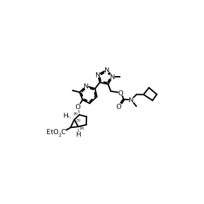 CCOC(=O)C1[C@H]2[C@H](Oc3ccc(-c4nnn(C)c4COC(=O)N(C)CC4CCC4)nc3C)CC[C@@H]12